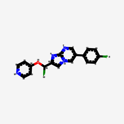 Fc1ccc(-c2cnc3nc(C(F)Oc4ccncc4)cn3c2)cc1